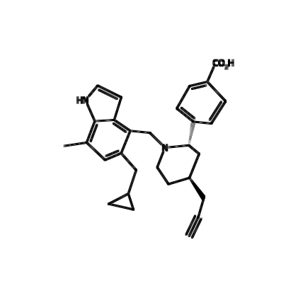 C#CC[C@H]1CCN(Cc2c(CC3CC3)cc(C)c3[nH]ccc23)[C@H](c2ccc(C(=O)O)cc2)C1